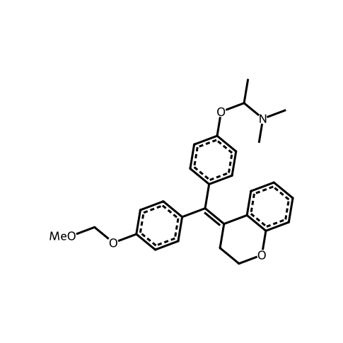 COCOc1ccc(C(=C2CCOc3ccccc32)c2ccc(OC(C)N(C)C)cc2)cc1